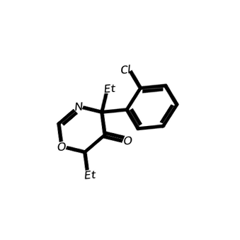 CCC1OC=NC(CC)(c2ccccc2Cl)C1=O